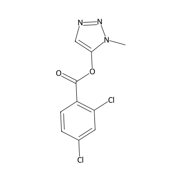 Cn1nncc1OC(=O)c1ccc(Cl)cc1Cl